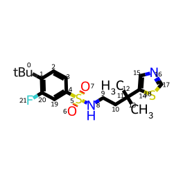 CC(C)(C)c1ccc(S(=O)(=O)NCCC(C)(C)c2cncs2)cc1F